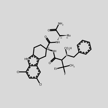 CC[C@H](C)[C@H](NC(=O)[C@@]1(NC(=O)C(N(Cc2ccccc2)C(=O)O)C(C)(F)CC)CCc2[nH]c3c(Cl)cc(Cl)cc3c2C1)C(N)=O